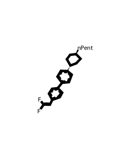 CCCCC[C@H]1CC[C@H](c2ccc(-c3ccc(C=C(F)F)cc3)cc2)CC1